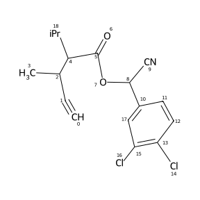 C#CC(C)C(C(=O)OC(C#N)c1ccc(Cl)c(Cl)c1)C(C)C